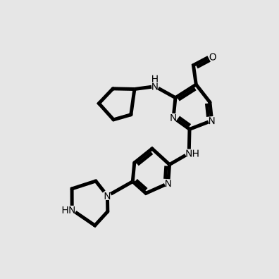 O=Cc1cnc(Nc2ccc(N3CCNCC3)cn2)nc1NC1CCCC1